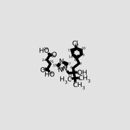 CC(C)(C)C(O)(CCc1ccc(Cl)cc1)Cn1cncn1.O=C(O)CCC(=O)O